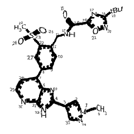 Cn1cc(-c2nc3c(-c4ccc(CNC(=O)c5nc(C(C)(C)C)no5)c(S(C)(=O)=O)c4)ccnc3[nH]2)cn1